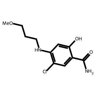 COCCCNc1cc(O)c(C(N)=O)cc1Cl